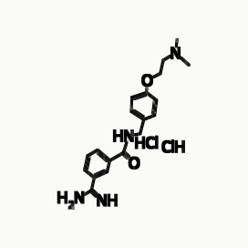 CN(C)CCOc1ccc(CNC(=O)c2cccc(C(=N)N)c2)cc1.Cl.Cl